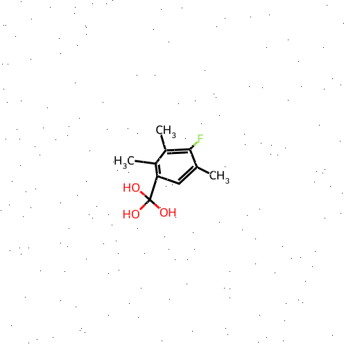 Cc1cc(C(O)(O)O)c(C)c(C)c1F